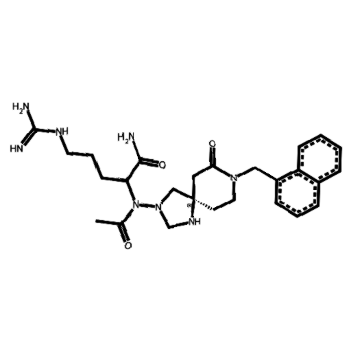 CC(=O)N(C(CCCNC(=N)N)C(N)=O)N1CN[C@@]2(CCN(Cc3cccc4ccccc34)C(=O)C2)C1